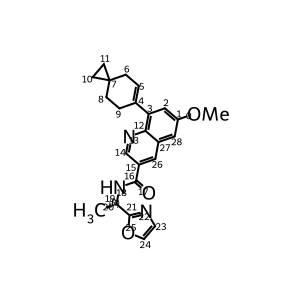 COc1cc(C2=CCC3(CC2)CC3)c2ncc(C(=O)N[C@H](C)c3ncco3)cc2c1